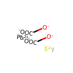 O=C([O-])[O-].O=C([O-])[O-].[Pb+2].[S+2]